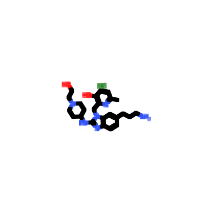 Cc1ccc(O)c(Cn2c(NC3CCN(CCO)CC3)nc3ccc(CCCN)cc32)n1.Cl